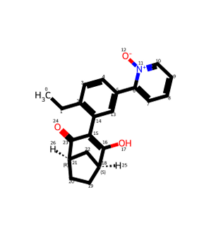 CCc1ccc(-c2cccc[n+]2[O-])cc1C1=C(O)[C@H]2CC[C@H](C2)C1=O